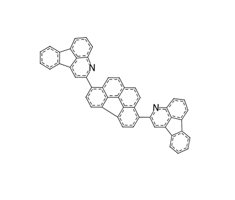 c1ccc2c(c1)-c1cccc3nc(-c4ccc5c6c4ccc4ccc7c(-c8cc9c%10c(cccc%10n8)-c8ccccc8-9)ccc-5c7c46)cc-2c13